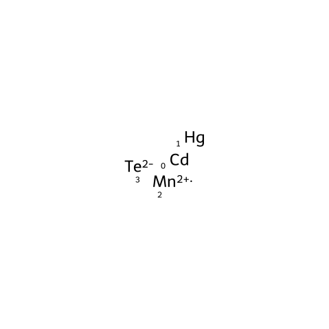 [Cd].[Hg].[Mn+2].[Te-2]